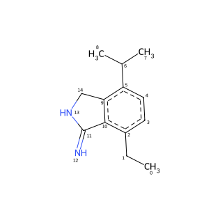 CCc1ccc(C(C)C)c2c1C(=N)NC2